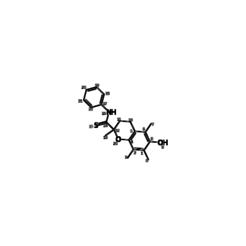 Cc1c(C)c2c(c(C)c1O)CCC(C)(C(=S)Nc1ccccc1)O2